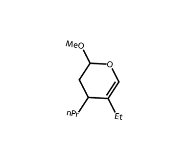 CCCC1CC(OC)OC=C1CC